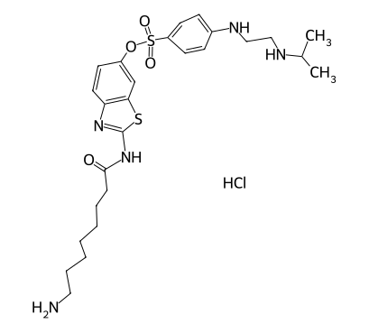 CC(C)NCCNc1ccc(S(=O)(=O)Oc2ccc3nc(NC(=O)CCCCCCCN)sc3c2)cc1.Cl